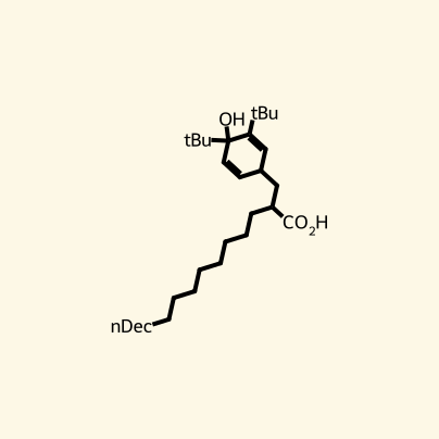 CCCCCCCCCCCCCCCCCCC(CC1C=CC(O)(C(C)(C)C)C(C(C)(C)C)=C1)C(=O)O